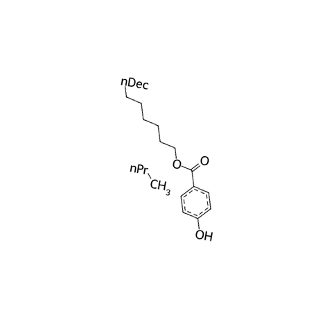 CCCC.CCCCCCCCCCCCCCCCOC(=O)c1ccc(O)cc1